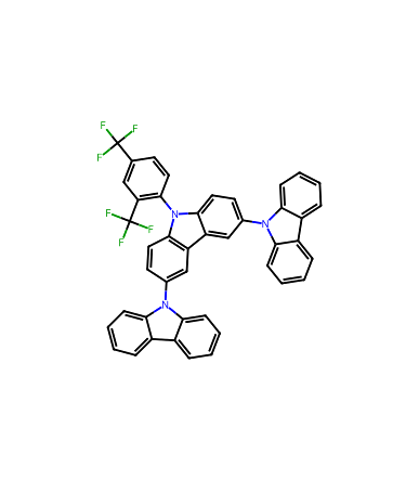 FC(F)(F)c1ccc(-n2c3ccc(-n4c5ccccc5c5ccccc54)cc3c3cc(-n4c5ccccc5c5ccccc54)ccc32)c(C(F)(F)F)c1